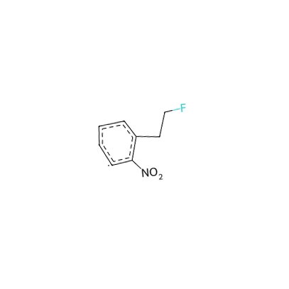 O=[N+]([O-])c1[c]cccc1CCF